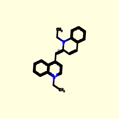 CCN1/C(=C/c2cc[n+](CC)c3ccccc23)C=Cc2ccccc21